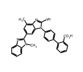 CCCc1nc2c(C)cc(-c3nc4ccccc4n3C)cc2n1-c1ccc(-c2ccccc2C(=O)O)cc1